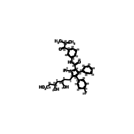 CC(C)n1c(CC[C@@H](O)C[C@@H](O)CC(=O)O)c(-c2ccc(F)cc2)c(-c2ccccc2)c1C(=O)Nc1cccc(C(=O)N(C)C)c1